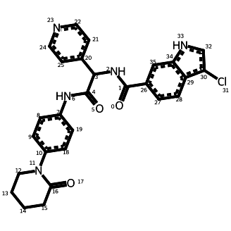 O=C(NC(C(=O)Nc1ccc(N2CCCCC2=O)cc1)c1ccncc1)c1ccc2c(Cl)c[nH]c2c1